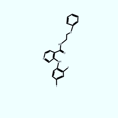 O=C(NCCOc1ccccc1)c1ccncc1Nc1ccc(I)cc1F